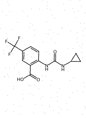 O=C(Nc1ccc(C(F)(F)F)cc1C(=O)O)NC1CC1